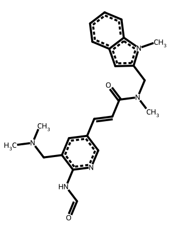 CN(C)Cc1cc(/C=C/C(=O)N(C)Cc2cc3ccccc3n2C)cnc1NC=O